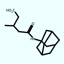 CC(CC(=O)O)CC(=O)NC12CC3CC(CC(C3)C1)C2